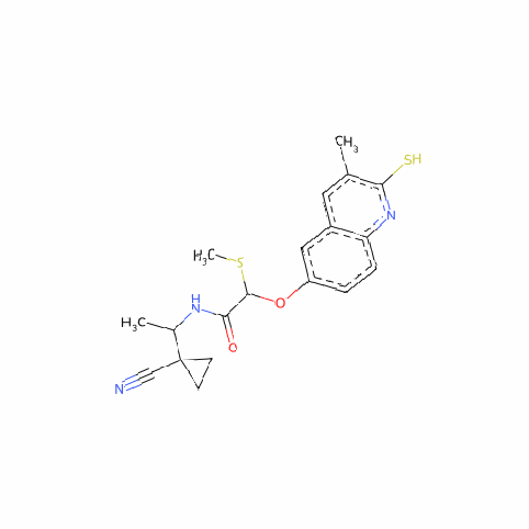 CSC(Oc1ccc2nc(S)c(C)cc2c1)C(=O)NC(C)C1(C#N)CC1